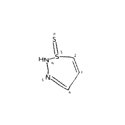 S=S1C=CC=NN1